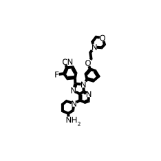 N#Cc1ccc(-c2nc3c(N4CCCC(N)C4)ccnc3n2-c2cccc(OCCN3CCOCC3)c2)cc1F